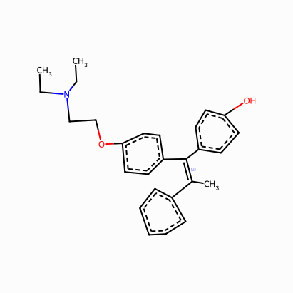 CCN(CC)CCOc1ccc(/C(=C(/C)c2ccccc2)c2ccc(O)cc2)cc1